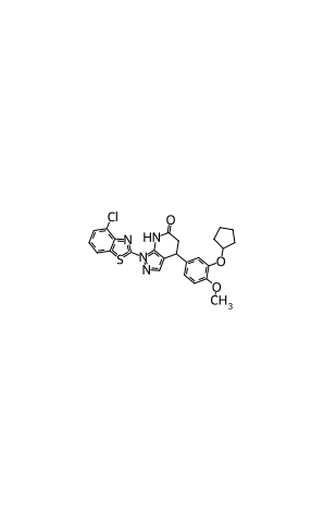 COc1ccc(C2CC(=O)Nc3c2cnn3-c2nc3c(Cl)cccc3s2)cc1OC1CCCC1